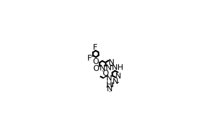 C=CC(=O)Nc1cc(Nc2ncc3cc(Oc4ccc(F)cc4F)c(=O)n(C)c3n2)cnc1N(C)CCN(C)C